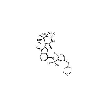 O=C1c2cccc(OC(O)(O)c3cc(CN4CCOCC4)ccc3F)c2CN1C1(O)C(=O)NC(=O)C(O)(O)C1(O)O